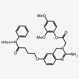 CCCCCCN(C(=O)CCCOc1ccc2c(c1)CN(CC(=O)Oc1ccc(OC)cc1OC)C(N)=N2)c1ccccc1